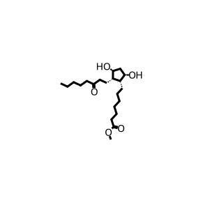 CCCCCC(=O)CC[C@H]1[C@@H](CCCCCCC(=O)OC)[C@H](O)C[C@@H]1O